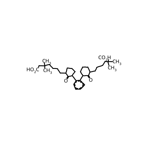 CC(C)(CCCCC1CCCC(c2ccccc2C2CCCC(CCCCC(C)(C)C(=O)O)C2=O)C1=O)CC(=O)O